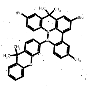 Cc1ccc2c(c1)-c1cc(C(C)(C)C)cc3c1N(B2c1ccc2c(c1)Oc1ccccc1C2(C)C)c1ccc(C(C)(C)C)cc1C3(C)C